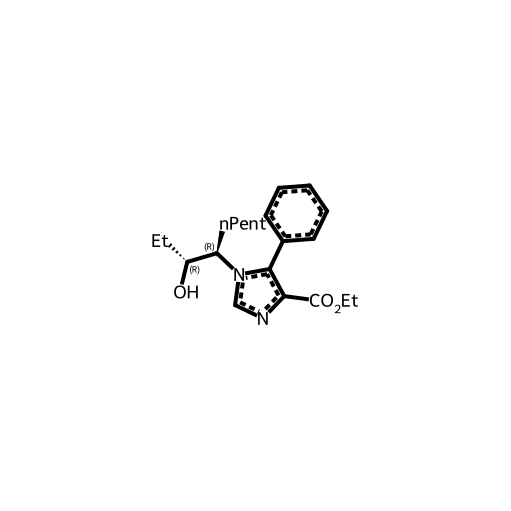 CCCCC[C@H]([C@H](O)CC)n1cnc(C(=O)OCC)c1-c1ccccc1